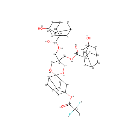 CC(F)(F)C(=O)OC12CC3CC(C1)C1(OCC(COC(=O)C45CC6CC(CC(O)(C6)C4)C5)(COC(=O)C45CC6CC(CC(O)(C6)C4)C5)CO1)C(C3)C2